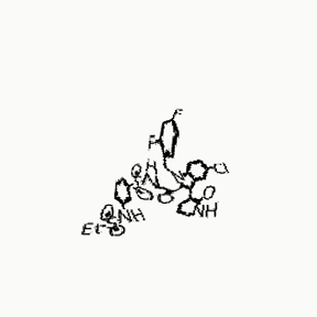 CCS(=O)(=O)Nc1cccc(S(=O)(=O)NC(=O)c2c(-c3ccc[nH]c3=O)c3cc(Cl)ccc3n2Cc2ccc(F)cc2F)c1